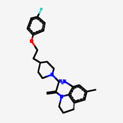 C=C(CN1CCC(CCOc2ccc(F)cc2)CC1)N1CCCc2cc(C)cc(N)c21